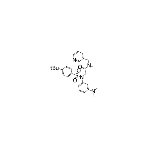 CN(Cc1cccnc1)C(=O)CN(c1cccc(N(C)C)c1)S(=O)(=O)c1ccc(C(C)(C)C)cc1